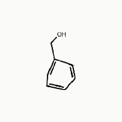 OCc1[c]cccc1